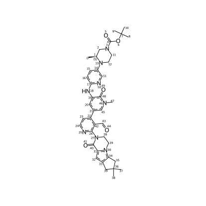 C[C@H]1CN(C(=O)OC(C)(C)C)CCN1c1ccc(Nc2cc(-c3ccnc(N4CCn5c(cc6c5CC(C)(C)C6)C4=O)c3C=O)cn(C)c2=O)nc1